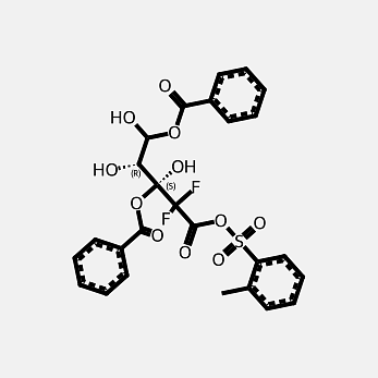 Cc1ccccc1S(=O)(=O)OC(=O)C(F)(F)[C@@](O)(OC(=O)c1ccccc1)[C@H](O)C(O)OC(=O)c1ccccc1